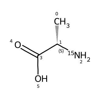 C[C@H]([15NH2])C(=O)O